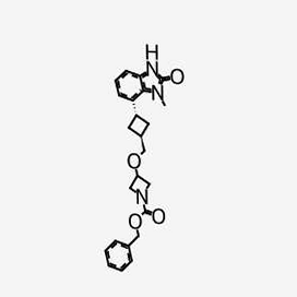 Cn1c(=O)[nH]c2cccc([C@H]3C[C@H](COC4CN(C(=O)OCc5ccccc5)C4)C3)c21